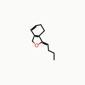 CCCC=C1OCC2=C1CCC=C2